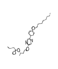 CCCCCCCCOc1ccc(-c2cnc(OCCC(C)OC(=O)CCC)cn2)cc1